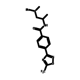 CCC(C)N(C)CC(C)NC(=O)c1ccc(-c2noc(C(F)(F)F)n2)cc1